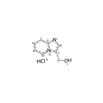 Cl.OCc1cnc2ccccn12